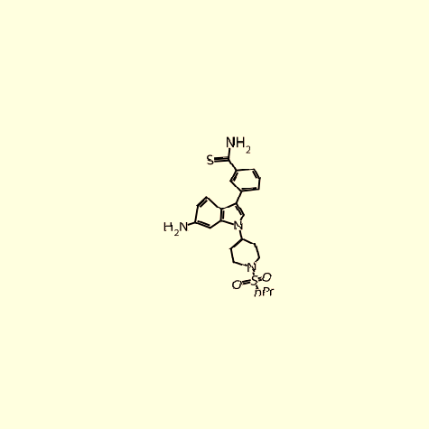 CCCS(=O)(=O)N1CCC(n2cc(-c3cccc(C(N)=S)c3)c3ccc(N)cc32)CC1